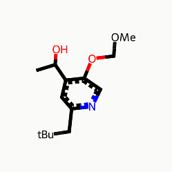 COCOc1cnc(CC(C)(C)C)cc1C(C)O